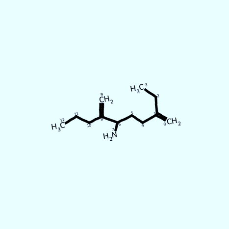 C=C(CC)CCC(N)C(=C)CCC